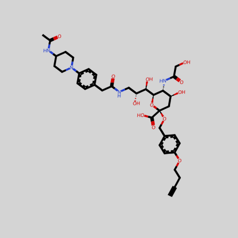 C#CCCOc1ccc(CO[C@]2(C(=O)O)C[C@H](O)[C@@H](NC(=O)CO)[C@H]([C@H](O)[C@H](O)CNC(=O)Cc3ccc(N4CCC(NC(C)=O)CC4)cc3)O2)cc1